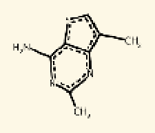 Cc1nc(N)c2scc(C)c2n1